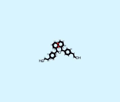 OCCc1ccc(C(OC(c2ccccc2)c2ccc(CCO)cc2)c2ccccc2)cc1